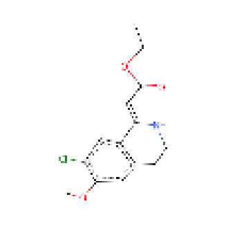 CCOC(=O)C=C1NCCc2cc(OC)c(Cl)cc21